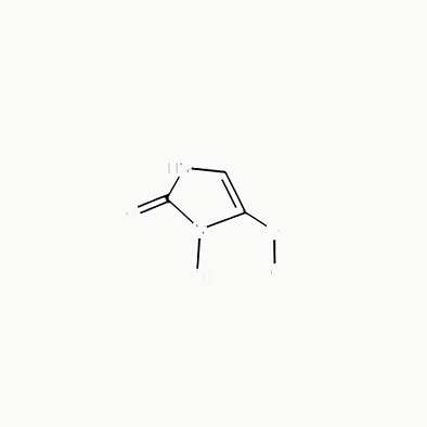 Cn1c(OC(F)(F)F)[c][nH]c1=O